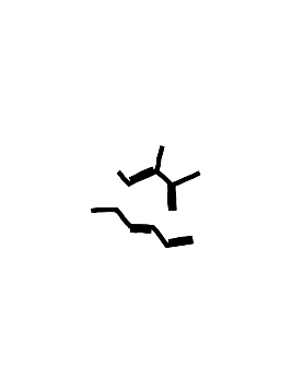 C=C(C)C(C)=CC.C=CC=CCC